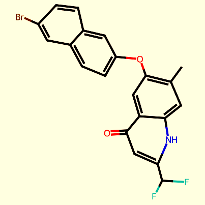 Cc1cc2[nH]c(C(F)F)cc(=O)c2cc1Oc1ccc2cc(Br)ccc2c1